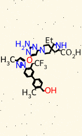 CCC1NC(C(=O)O)CC12CCN(c1cc(O[C@H](c3cc(-c4ccc(CO)c(C)c4)ccc3-n3ccc(C)n3)C(F)(F)F)nc(N)n1)CC2